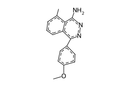 COc1ccc(-c2nnc(N)c3c(C)cccc23)cc1